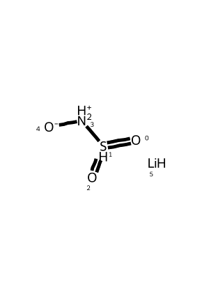 O=[SH](=O)[NH2+][O-].[LiH]